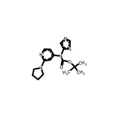 CC(C)(C)OC(=O)N(c1ccnc(N2CCCC2)c1)c1cncs1